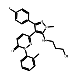 Cc1ccccc1-n1nc(-c2c(-c3ccc(F)cc3)nn(C)c2NCCCO)ccc1=O